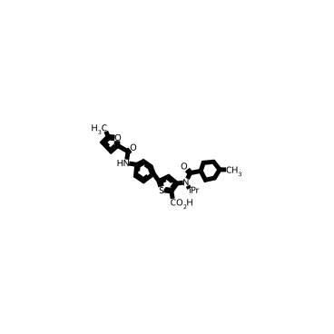 Cc1ccc(C(=O)Nc2ccc(-c3cc(N(C(=O)C4CCC(C)CC4)C(C)C)c(C(=O)O)s3)cc2)o1